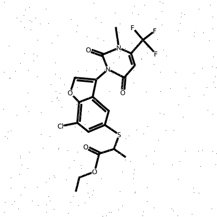 CCOC(=O)C(C)Sc1cc(Cl)c2occ(-n3c(=O)cc(C(F)(F)F)n(C)c3=O)c2c1